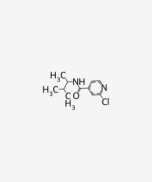 CC(C)C(C)NC(=O)c1ccnc(Cl)c1